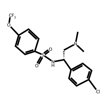 CN(C)C[C@@H](NS(=O)(=O)c1ccc(OC(F)(F)F)cc1)c1ccc(Cl)cc1